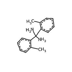 Cc1ccccc1C(N)(N)c1ccccc1C